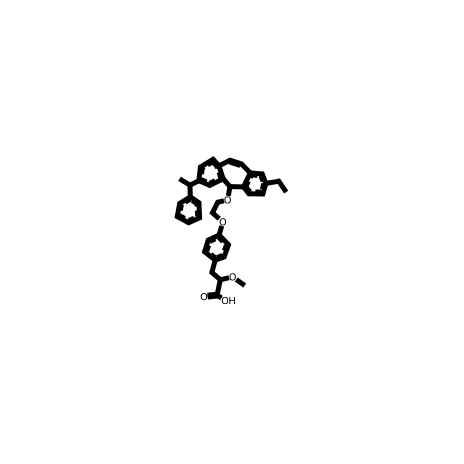 CCc1ccc2c(c1)C=Cc1ccc(C(C)c3ccccc3)cc1C2OCCOc1ccc(CC(OC)C(=O)O)cc1